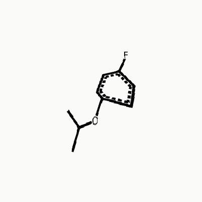 CC(C)Oc1ccc(F)cc1